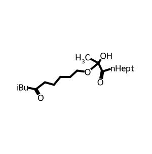 CCCCCCCC(=O)C(C)(O)OCCCCCC(=O)C(C)CC